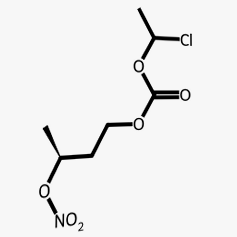 CC(Cl)OC(=O)OCC[C@H](C)O[N+](=O)[O-]